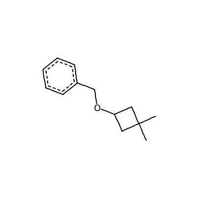 CC1(C)CC(OCc2ccccc2)C1